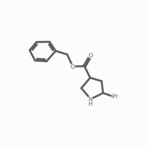 CC(C)C1CC(C(=O)OCc2ccccc2)CN1